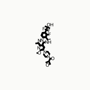 COc1nc2c(C)nnc(N[C@H](C)c3cccc(C(F)(F)C(C)(C)O)c3F)c2cc1N1CCN(C(=O)C2COC2)CC1